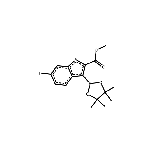 COC(=O)c1sc2cc(F)ccc2c1B1OC(C)(C)C(C)(C)O1